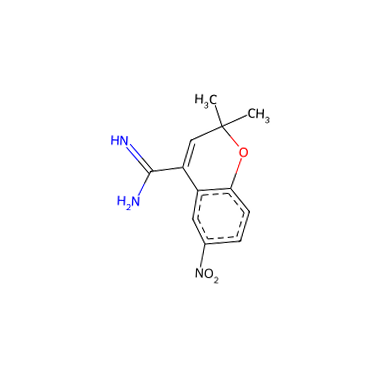 CC1(C)C=C(C(=N)N)c2cc([N+](=O)[O-])ccc2O1